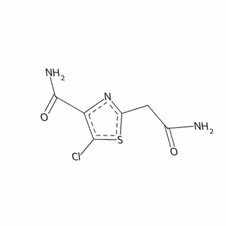 NC(=O)Cc1nc(C(N)=O)c(Cl)s1